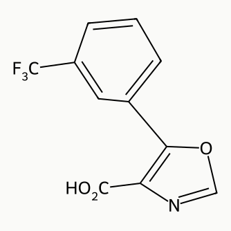 O=C(O)c1ncoc1-c1cccc(C(F)(F)F)c1